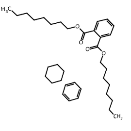 C1CCCCC1.CCCCCCCCOC(=O)c1ccccc1C(=O)OCCCCCCCC.c1ccccc1